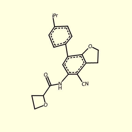 CC(C)c1ccc(-c2cc(NC(=O)C3CCO3)c(C#N)c3c2OCC3)cc1